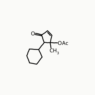 CC(=O)OC1(C)C=CC(=O)C1C1CCCCC1